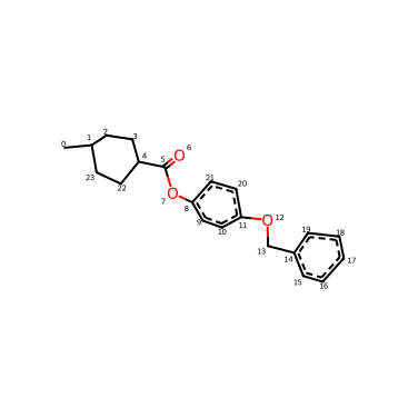 CC1CCC(C(=O)Oc2ccc(OCc3ccccc3)cc2)CC1